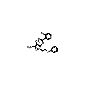 Cc1nn(CCOc2ccccc2)c(OC(=O)c2cnccc2F)c1C